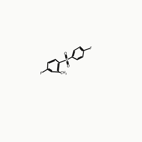 Cc1cc(F)ccc1S(=O)(=O)c1ccc(F)cc1